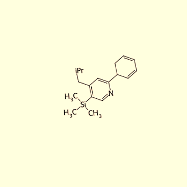 CC(C)Cc1cc(C2C=CC=CC2)ncc1[Si](C)(C)C